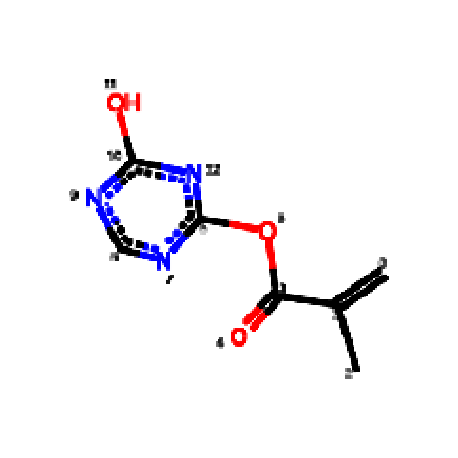 C=C(C)C(=O)Oc1ncnc(O)n1